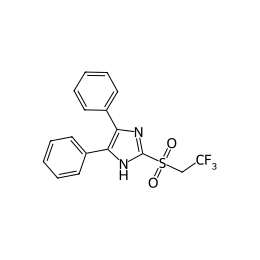 O=S(=O)(CC(F)(F)F)c1nc(-c2ccccc2)c(-c2ccccc2)[nH]1